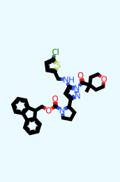 CC1(C(=O)n2nc(C3CCCN3C(=O)OCC3c4ccccc4-c4ccccc43)cc2NCc2ccc(Cl)s2)CCOCC1